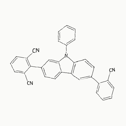 N#Cc1ccccc1-c1ccc2c(c1)c1ccc(-c3c(C#N)cccc3C#N)cc1n2-c1ccccc1